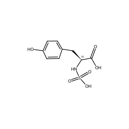 O=C(O)[C@H](Cc1ccc(O)cc1)NS(=O)(=O)O